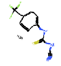 N#CNC(=S)Nc1ccc(C(F)(F)F)cc1.[NaH]